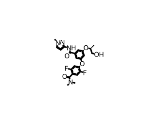 C[C@@H](CO)Oc1cc(Oc2cc(F)c(C(=O)N(C)C)cc2F)cc(C(=O)Nc2ccn(C)n2)c1